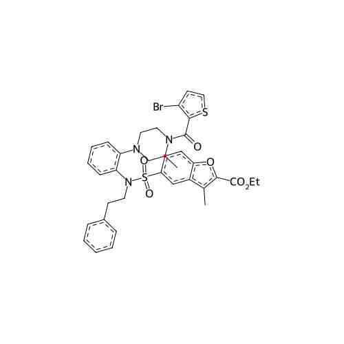 CCOC(=O)c1oc2ccc(S(=O)(=O)N(CCc3ccccc3)c3ccccc3N3CCN(C(=O)c4sccc4Br)C(C)C3)cc2c1C